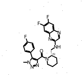 Cn1nnc(C(=O)N2CCCC[C@H]2CNc2cnc3cc(F)c(F)cc3n2)c1-c1ccc(F)cc1